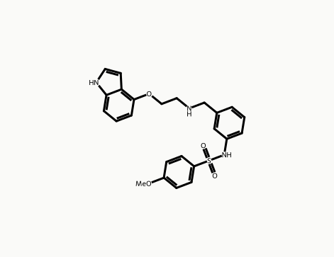 COc1ccc(S(=O)(=O)Nc2cccc(CNCCOc3cccc4[nH]ccc34)c2)cc1